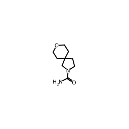 NC(=O)N1CCC2(CCOCC2)C1